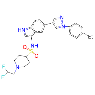 CCc1ccc(-n2cc(-c3ccc4[nH]cc(NS(=O)(=O)C5CCN(CC(F)F)CC5)c4c3)cn2)cc1